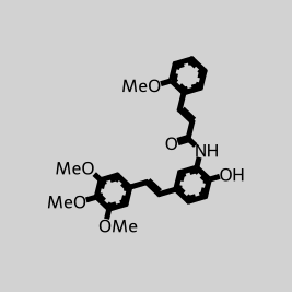 COc1ccccc1/C=C/C(=O)Nc1cc(C=Cc2cc(OC)c(OC)c(OC)c2)ccc1O